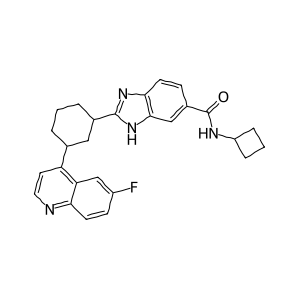 O=C(NC1CCC1)c1ccc2nc(C3CCCC(c4ccnc5ccc(F)cc45)C3)[nH]c2c1